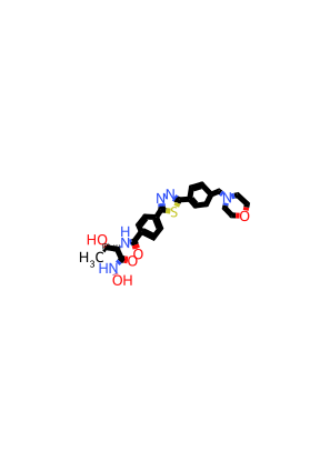 C[C@@H](O)[C@H](NC(=O)c1ccc(-c2nnc(C3=CCC(CN4CCOCC4)C=C3)s2)cc1)C(=O)NO